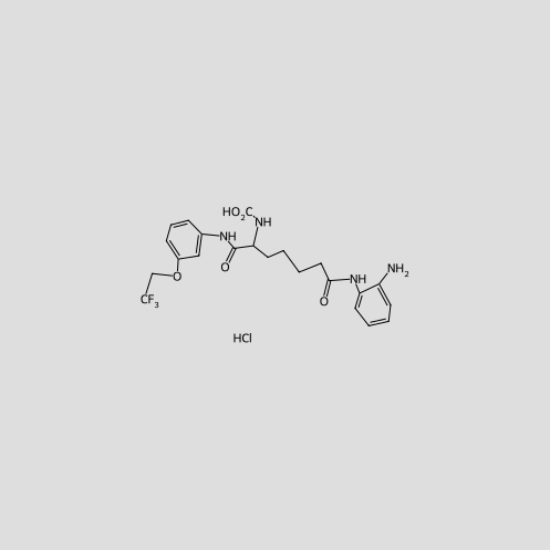 Cl.Nc1ccccc1NC(=O)CCCCC(NC(=O)O)C(=O)Nc1cccc(OCC(F)(F)F)c1